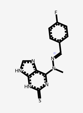 CN(/N=C/c1ccc(F)cc1)c1nc(=S)[nH]c2[nH]cnc12